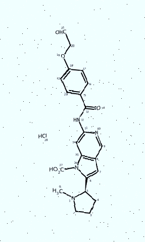 CN1CCC[C@@H]1c1cc2cnc(NC(=O)c3ccc(OCC=O)cc3)cc2n1C(=O)O.Cl